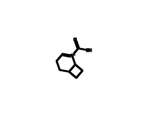 O=C(O)[N+]1=CCCC2CCC21